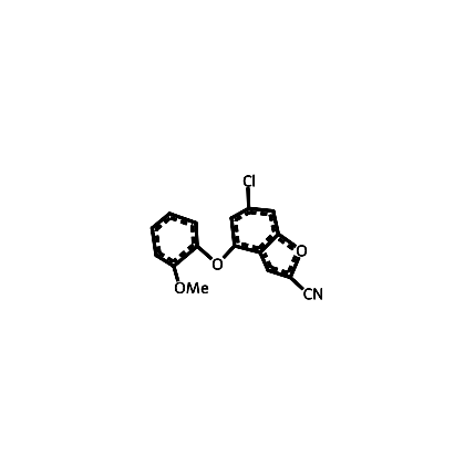 COc1ccccc1Oc1cc(Cl)cc2oc(C#N)cc12